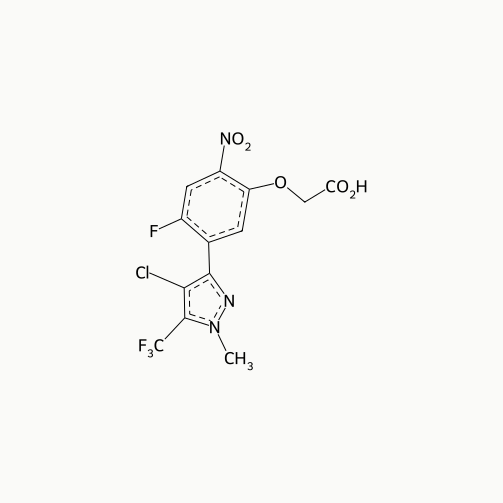 Cn1nc(-c2cc(OCC(=O)O)c([N+](=O)[O-])cc2F)c(Cl)c1C(F)(F)F